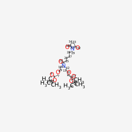 CC(C)(C)OC(=O)COCCN(CCOCC(=O)OC(C)(C)C)C(=O)CCCCCN1C(=O)CCC1=O